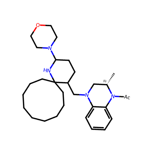 CC(=O)N1c2ccccc2N(CC2CCC(N3CCOCC3)NC23CCCCCCCCC3)C[C@@H]1C